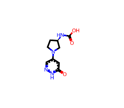 O=C(O)N[C@@H]1CCN(c2cn[nH]c(=O)c2)C1